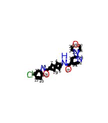 O=C(NC1CC2(C1)CC(c1nc3cc(Cl)ccc3o1)C2)c1ccnc(N2CCOCC2)c1